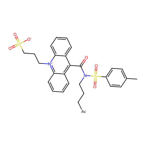 CC(=O)CCCN(C(=O)c1c2ccccc2[n+](CCCS(=O)(=O)[O-])c2ccccc12)S(=O)(=O)c1ccc(C)cc1